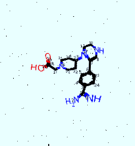 N=C(N)c1ccc(C2CNCCN2C2CCN(CC(=O)O)CC2)cc1